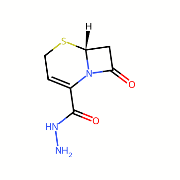 NNC(=O)C1=CCS[C@@H]2CC(=O)N12